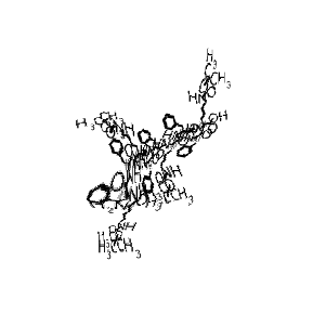 CC(C)OC(=O)NCCCC[C@H](NC(=O)[C@H](Cc1ccccc1)NC(=O)[C@H](Cc1ccccc1)NC(=O)[C@H](CCCCNC(=O)OC(C)(C)C)NC(=O)[C@H](Cc1ccccc1)NC(=O)[C@H](Cc1ccccc1)NC(=O)[C@H](CCCCNC(=O)OC(C)(C)C)NC(=O)[C@H](Cc1ccccc1)NC(=O)[C@H](Cc1ccccc1)NC(=O)[C@@H](N)CCCCNC(=O)OC(C)(C)C)C(=O)O